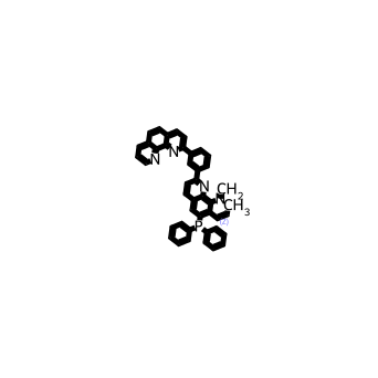 C=Nc1c(/C=C\C)c(P(c2ccccc2)c2ccccc2)cc2ccc(-c3cccc(-c4ccc5ccc6cccnc6c5n4)c3)nc12